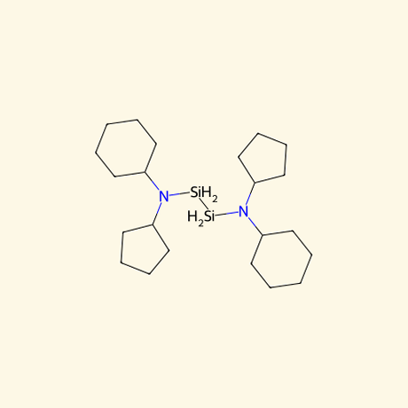 C1CCC(N([SiH2][SiH2]N(C2CCCCC2)C2CCCC2)C2CCCC2)CC1